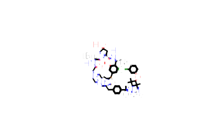 COC(C)(N[C@H]1C(C)(C)[C@H](Oc2ccc(C#N)c(Cl)c2)C1(C)C)c1ccc(CCCN2CCN(CC(=O)N[C@H](C(=O)N3C[C@H](O)C[C@H]3C(=O)N[C@@H](C)c3ccc(-c4scnc4C)cc3)C(C)(C)C)CC2)cc1